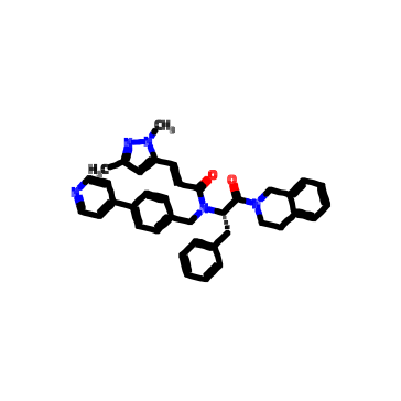 Cc1cc(C=CC(=O)N(Cc2ccc(-c3ccncc3)cc2)[C@@H](Cc2ccccc2)C(=O)N2CCc3ccccc3C2)n(C)n1